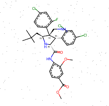 COC(=O)c1ccc(NC(=O)[C@@H]2N[C@@H](CC(C)(C)C)[C@](CN)(c3ccc(Cl)cc3F)[C@@H]2c2ccc(Cl)cc2Cl)c(OC)c1